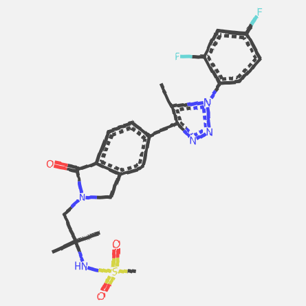 Cc1c(-c2ccc3c(c2)CN(CC(C)(C)NS(C)(=O)=O)C3=O)nnn1-c1ccc(F)cc1F